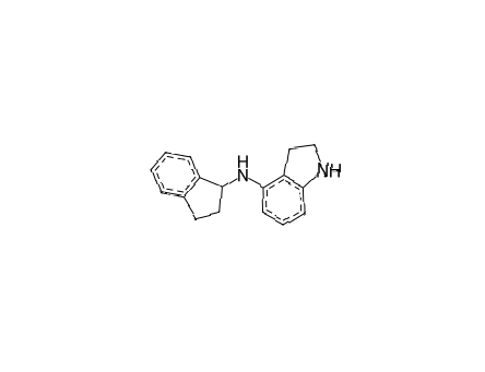 c1ccc2c(c1)CCC2Nc1cccc2c1CCN2